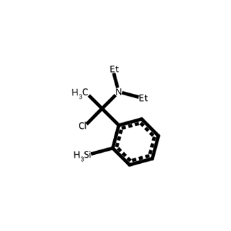 CCN(CC)C(C)(Cl)c1ccccc1[SiH3]